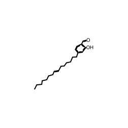 CCCCCCCC=CCCCCCCc1ccc(C=O)c(O)c1